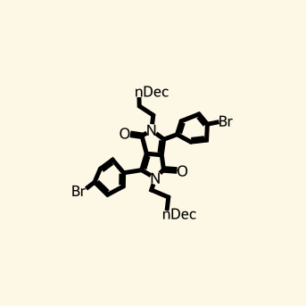 CCCCCCCCCCCCN1C(=O)C2=C(c3ccc(Br)cc3)N(CCCCCCCCCCCC)C(=O)C2=C1c1ccc(Br)cc1